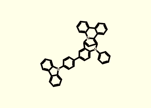 c1ccc(N2c3ccc(-c4ccc(-n5c6ccccc6c6ccccc65)cc4)cc3-c3cc2c2c4ccccc4c4ccccc4n32)cc1